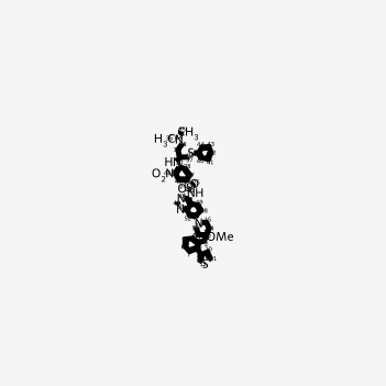 COC1(Cc2ccccc2-c2ccsc2)CCN(c2ccc3c(NS(=O)(=O)c4ccc(NC(CCN(C)C)CSc5ccccc5)c([N+](=O)[O-])c4)ncnc3c2)CC1